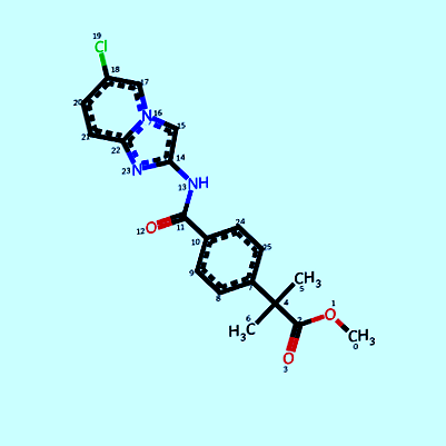 COC(=O)C(C)(C)c1ccc(C(=O)Nc2cn3cc(Cl)ccc3n2)cc1